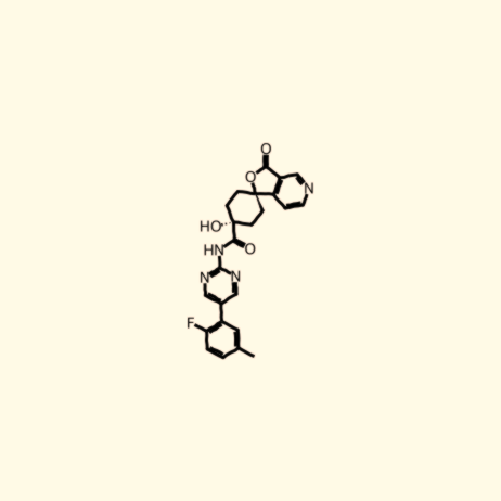 Cc1ccc(F)c(-c2cnc(NC(=O)[C@]3(O)CC[C@@]4(CC3)OC(=O)c3cnccc34)nc2)c1